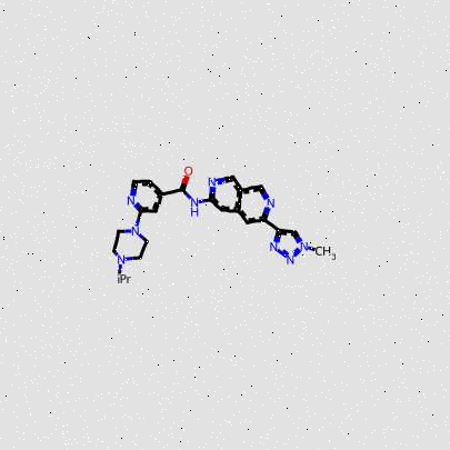 CC(C)N1CCN(c2cc(C(=O)Nc3cc4cc(-c5cn(C)nn5)ncc4cn3)ccn2)CC1